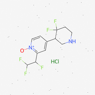 Cl.[O-][n+]1ccc(C2CNCCC2(F)F)cc1C(F)C(F)F